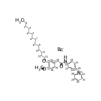 CCCCCCCCCCCCCCOc1cc(CC(=O)Nc2ccc(C[n+]3ccccc3)cc2)ccc1OC.[Br-]